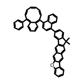 CC1(C)c2ccc(-c3ccc(-c4ccccccc(-c5ccccc5)c5ccccc45)c4ccccc34)cc2-c2cc3cc4oc5ccccc5c4cc3cc21